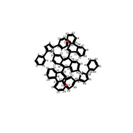 c1ccc(-c2ccc(-c3ccccc3)n2-c2ccc3c(-c4cc5ccccc5c5ccccc45)c4cc(-n5c(-c6ccccc6)ccc5-c5ccccc5)ccc4c(-c4cc5ccccc5c5ccccc45)c3c2)cc1